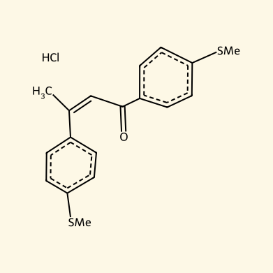 CSc1ccc(C(=O)C=C(C)c2ccc(SC)cc2)cc1.Cl